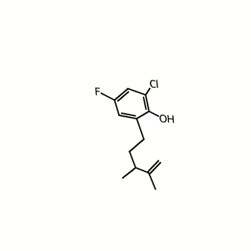 C=C(C)C(C)CCc1cc(F)cc(Cl)c1O